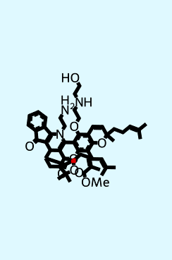 COC(=O)/C(C)=C\CC12OC(C)(C)C3CC(C1=O)C1C4=C(c5ccccc5C4=O)N(CCN)C4=C1C32Oc1c(CC=C(C)C)c2c(c(OCCNCCO)c14)C=CC(C)(CCC=C(C)C)O2